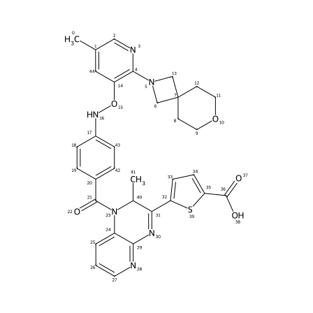 Cc1cnc(N2CC3(CCOCC3)C2)c(ONc2ccc(C(=O)N3c4cccnc4N=C(c4ccc(C(=O)O)s4)C3C)cc2)c1